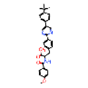 COc1ccc(C(=O)NC(Cc2ccc(-c3ncc(-c4ccc(C(C)(C)C)cc4)cn3)cc2)C(=O)O)cc1